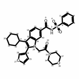 O=C(NS(=O)(=O)c1ccccc1)c1ccc2c(C3CCCCC3)c(-c3ccoc3)n(CC(=O)N3CCOCC3)c2c1